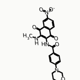 CNC1=C(NC(=O)c2ccc(N3CCCOC3)cc2)C(=O)c2ccc([N+](=O)[O-])cc2C1=O